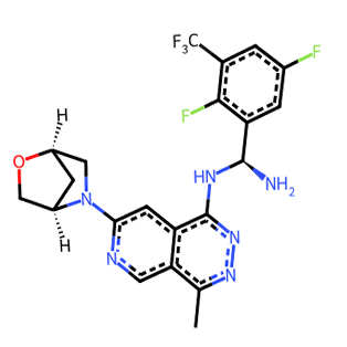 Cc1nnc(N[C@H](N)c2cc(F)cc(C(F)(F)F)c2F)c2cc(N3C[C@H]4C[C@@H]3CO4)ncc12